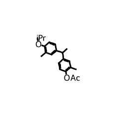 CC(=O)Oc1ccc(C(C)c2ccc(OC(C)C)c(C)c2)cc1C